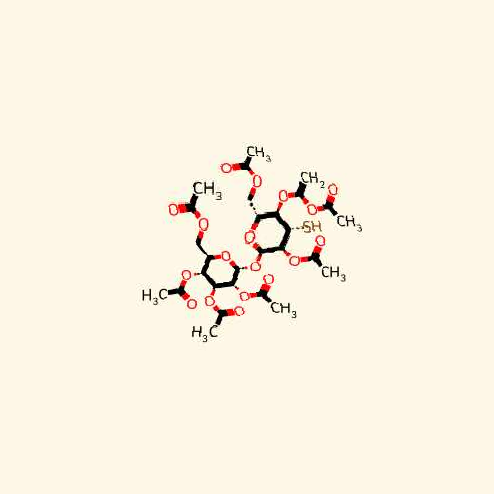 C=C(OC(C)=O)O[C@H]1[C@H](S)[C@@H](OC(C)=O)[C@@H](O[C@H]2O[C@H](COC(C)=O)[C@@H](OC(C)=O)[C@H](OC(C)=O)[C@H]2OC(C)=O)O[C@@H]1COC(C)=O